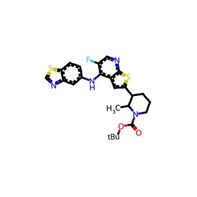 CC1C(c2cc3c(Nc4ccc5scnc5c4)c(F)cnc3s2)CCCN1C(=O)OC(C)(C)C